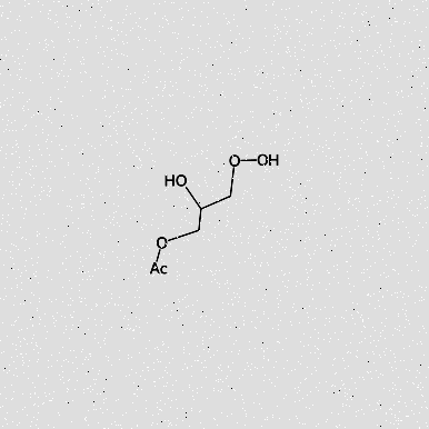 CC(=O)OCC(O)COO